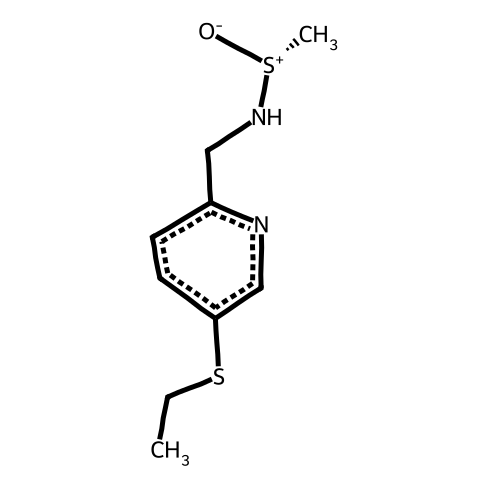 CCSc1ccc(CN[S@@+](C)[O-])nc1